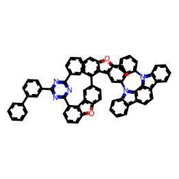 c1ccc(-c2cccc(-c3nc(-c4ccccc4)nc(-c4cccc5oc6ccc(-c7cccc8oc9ccc(-n%10c%11ccccc%11c%11ccc%12c%13ccccc%13n(-c%13ccccc%13)c%12c%11%10)cc9c78)cc6c45)n3)c2)cc1